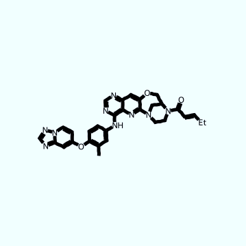 CC/C=C/C(=O)N1CCN2CC1COc1cc3ncnc(Nc4ccc(Oc5ccn6ncnc6c5)c(C)c4)c3nc12